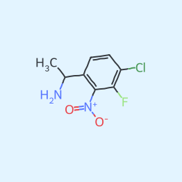 CC(N)c1ccc(Cl)c(F)c1[N+](=O)[O-]